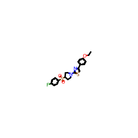 CCOc1ccc(-c2csc(N3CCC(S(=O)(=O)c4ccc(F)cc4)CC3)n2)cc1